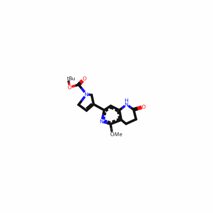 COc1nc(C2=CCN(C(=O)OC(C)(C)C)C2)cc2c1CCC(=O)N2